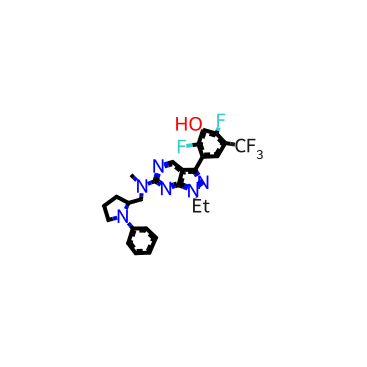 CCn1nc(-c2cc(C(F)(F)F)c(F)c(O)c2F)c2cnc(N(C)CC3CCCN3c3ccccc3)nc21